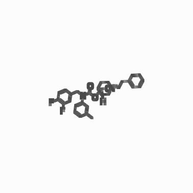 Cc1cccc(N(Cc2ccc(F)c(F)c2)C(=O)O[C@H]2C[N+]3(CCc4ccccc4)CCC2CC3)c1